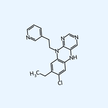 CCc1cc2c(cc1Cl)Nc1cncnc1N2CCc1cccnc1